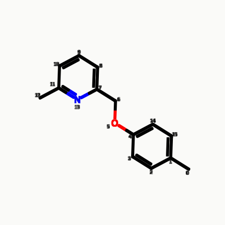 Cc1ccc(OCc2cccc(C)n2)cc1